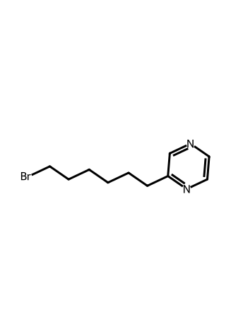 BrCCCCCCc1cnccn1